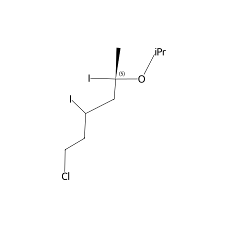 CC(C)O[C@@](C)(I)CC(I)CCCl